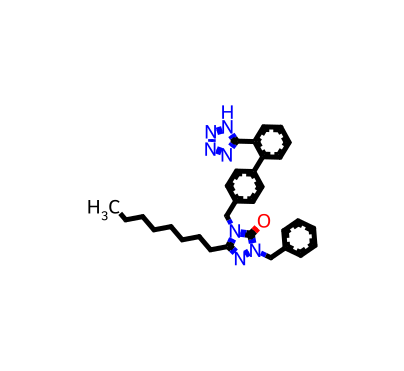 CCCCCCCCc1nn(Cc2ccccc2)c(=O)n1Cc1ccc(-c2ccccc2-c2nnn[nH]2)cc1